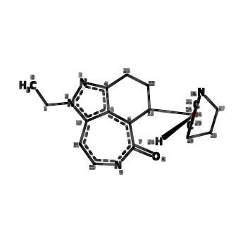 CCn1nc2c3c(c(=O)nccc31)C([C@H]1CN3CCC1CC3)CC2